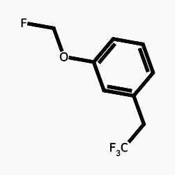 FCOc1cccc(CC(F)(F)F)c1